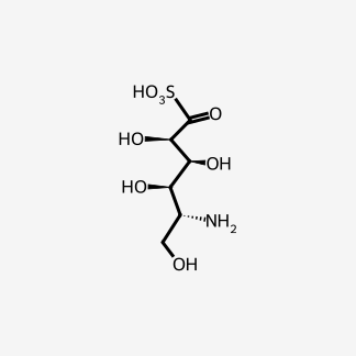 N[C@H](CO)[C@@H](O)[C@H](O)[C@@H](O)C(=O)S(=O)(=O)O